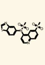 CS(=O)(=O)c1ccc2nccc(N(c3ccc4scnc4c3)S(C)(=O)=O)c2c1